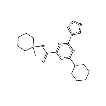 CC1(NC(=O)c2cc(N3CCCCC3)nc(-n3ccnc3)n2)CCCCC1